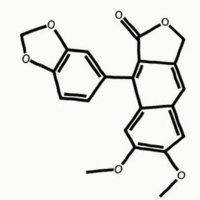 COc1cc2cc3c(c(-c4ccc5c(c4)OCO5)c2cc1OC)C(=O)OC3